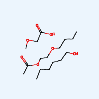 CCCCCCO.CCCCOCCOC(C)=O.COCC(=O)O